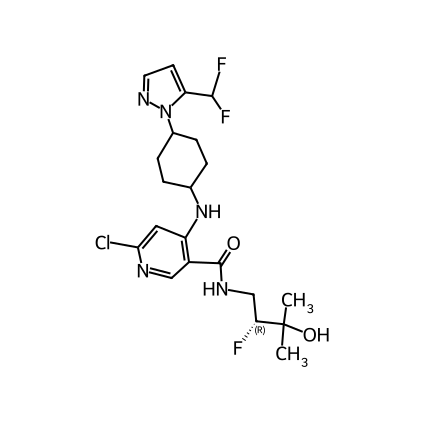 CC(C)(O)[C@H](F)CNC(=O)c1cnc(Cl)cc1NC1CCC(n2nccc2C(F)F)CC1